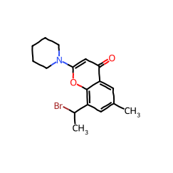 Cc1cc(C(C)Br)c2oc(N3CCCCC3)cc(=O)c2c1